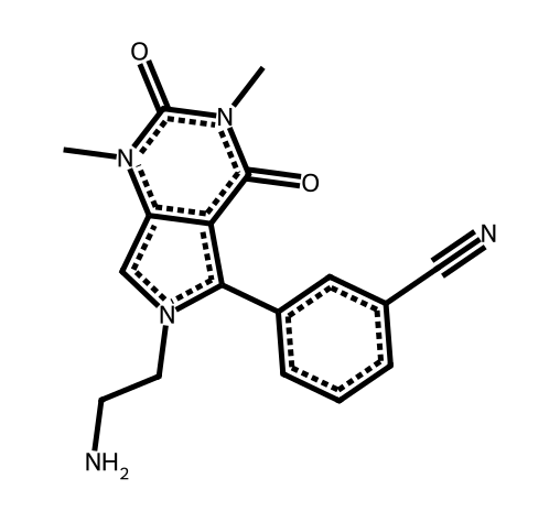 Cn1c(=O)c2c(-c3cccc(C#N)c3)n(CCN)cc2n(C)c1=O